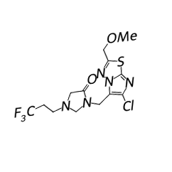 COCc1nn2c(CN3CN(CCC(F)(F)F)CC3=O)c(Cl)nc2s1